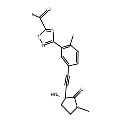 CN1CC[C@@](O)(C#Cc2ccc(F)c(-c3nsc(C(=O)I)n3)c2)C1=O